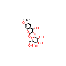 CCCCCCCCOc1ccc2c(O)c(O[C@@H]3O[C@H](CO)[C@@H](O)[C@H](O)[C@@H]3O)c(=O)oc2c1